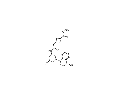 CC1CC(NC(=O)CC2CN(C(=O)OC(C)(C)C)C2)CN(c2ccc(C#N)c3nccnc23)C1